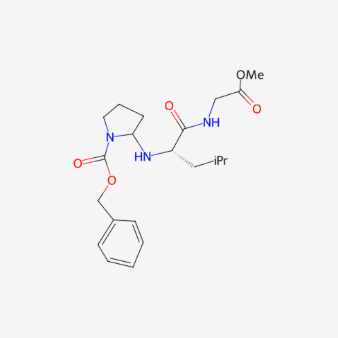 COC(=O)CNC(=O)[C@H](CC(C)C)NC1CCCN1C(=O)OCc1ccccc1